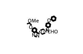 COC(C)COc1ccc2c(N3CCN(N(C=O)c4ccc(Oc5ccccc5)cc4)CC3)ncnc2c1